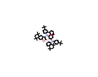 Cc1cc2c3c(c1)N(c1ccc(C(C)(C)C)cc1-c1ccccc1)c1c(oc4cc5c(cc14)C(C)(C)CCC5(C)C)B3c1ccc3c(c1N2c1ccc(C(C)(C)C)cc1)C(C)(C)CCC3(C)C